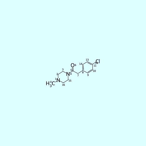 CN1CCN(C(=O)Cc2ccc(Cl)cc2)CC1